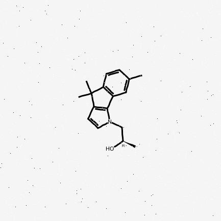 [CH2][C@@H](O)[CH]n1ccc2c1-c1cc(C)ccc1C2(C)C